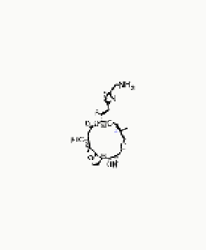 CC[C@H]1C(=O)C(C)(C)[C@@H](O)CC(=O)O[C@H](C(F)=Cc2csc(CN)n2)C/C=C(/C)CCC[C@H](C)[C@@H]1O